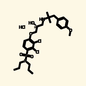 CCCN(CCC)S(=O)(=O)c1ccc(OC[C@H](O)CNC(C)(C)Cc2ccc(OC)cc2)c(Cl)c1Cl.Cl